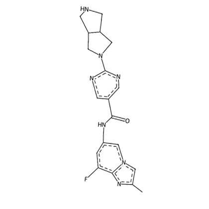 Cc1cn2cc(NC(=O)c3cnc(N4CC5CNCC5C4)nc3)cc(F)c2n1